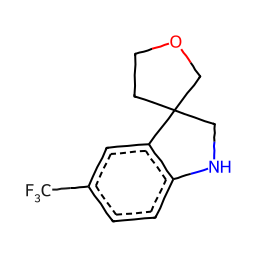 FC(F)(F)c1ccc2c(c1)C1(CCOC1)CN2